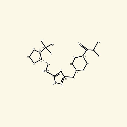 CC(C)C(=O)N1CCN(Cc2nsc(NC[C@@H]3CCCN3C(C)(C)C)n2)CC1